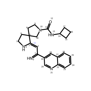 N=C(/C=C1\NCCC12CCN(C(=O)NC1CCC1)C2)c1cnc2ccccc2c1